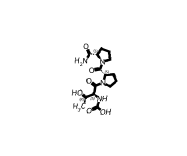 C[C@@H](O)[C@H](NC(=O)O)C(=O)N1CCC[C@H]1C(=O)N1CCC[C@H]1C(N)=O